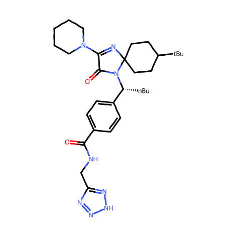 CCCC[C@H](c1ccc(C(=O)NCc2nn[nH]n2)cc1)N1C(=O)C(N2CCCCC2)=NC12CCC(C(C)(C)C)CC2